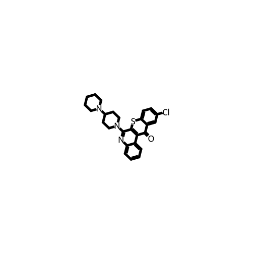 O=c1c2cc(Cl)ccc2sc2c(N3CCC(N4CCCCC4)CC3)nc3ccccc3c12